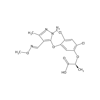 CON=Cc1c(C)nn(C)c1Oc1cc(O[C@@H](C)C(=O)O)c(Cl)cc1Cl